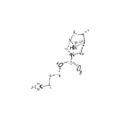 CCCCOC(=O)N1CC2CCC(C1)N2